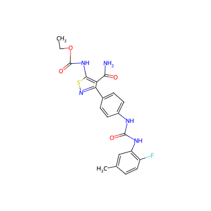 CCOC(=O)Nc1snc(-c2ccc(NC(=O)Nc3cc(C)ccc3F)cc2)c1C(N)=O